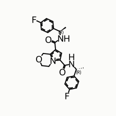 C[C@@H](NC(=O)c1cc(C(=O)N[C@H](C)c2ccc(F)cc2)n2c1COCC2)c1ccc(F)cc1